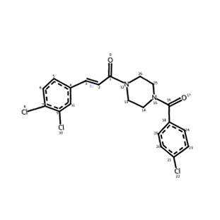 O=C(/C=C/c1ccc(Cl)c(Cl)c1)N1CCN(C(=O)c2ccc(Cl)cc2)CC1